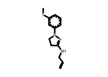 C=CCNC1=NN(c2cccc(SC)c2)CC1